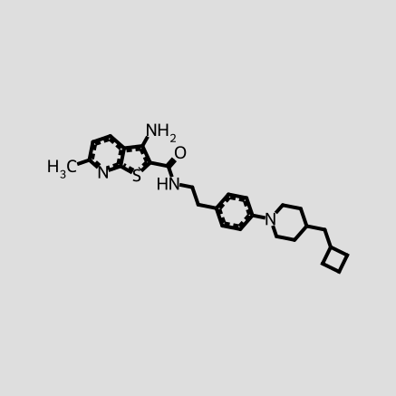 Cc1ccc2c(N)c(C(=O)NCCc3ccc(N4CCC(CC5CCC5)CC4)cc3)sc2n1